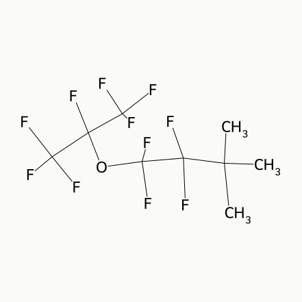 CC(C)(C)C(F)(F)C(F)(F)OC(F)(C(F)(F)F)C(F)(F)F